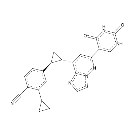 N#Cc1ccc([C@H]2C[C@@H]2c2cc(-c3c[nH]c(=O)[nH]c3=O)nn3ccnc23)cc1C1CC1